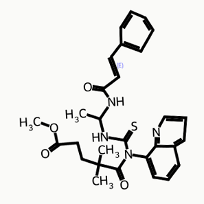 COC(=O)CCC(C)(C)C(=O)N(C(=S)NC(C)NC(=O)/C=C/c1ccccc1)c1cccc2cccnc12